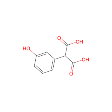 O=C(O)C(C(=O)O)c1cccc(O)c1